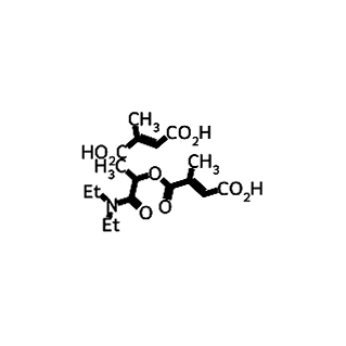 CC(=CC(=O)O)C(=O)O.CCN(CC)C(=O)C(C)OC(=O)/C(C)=C/C(=O)O